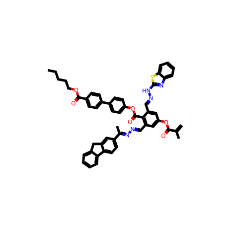 C=C(C)C(=O)Oc1cc(/C=N/N=C(\C)c2ccc3c(c2)Cc2ccccc2-3)c(C(=O)Oc2ccc(-c3ccc(C(=O)OCCCCC)cc3)cc2)c(/C=N/Nc2nc3ccccc3s2)c1